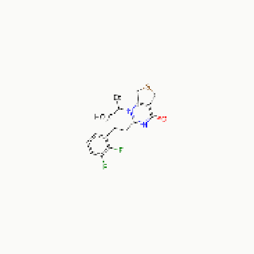 CCC(C(=O)O)n1c(CCc2cccc(F)c2F)nc(=O)c2c1CSC2